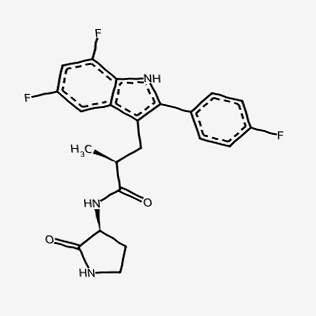 C[C@@H](Cc1c(-c2ccc(F)cc2)[nH]c2c(F)cc(F)cc12)C(=O)N[C@H]1CCNC1=O